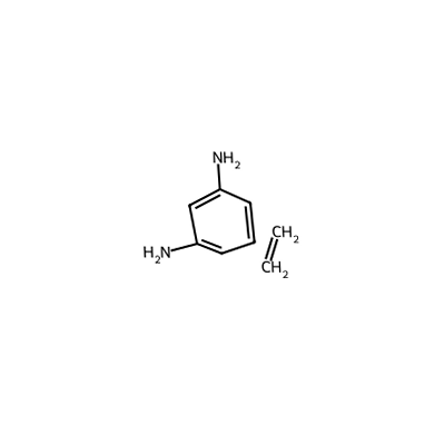 C=C.Nc1cccc(N)c1